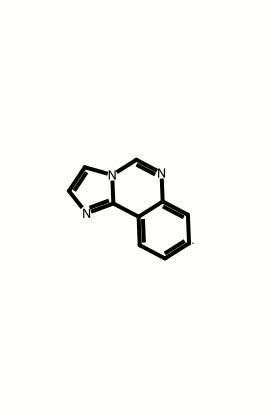 [c]1ccc2c(c1)ncn1ccnc21